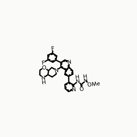 CONC(=O)Nc1ncccc1-c1ccc2ncc(-c3cc(F)cc(F)c3)c(N3CCC4NCCOC4C3)c2c1